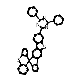 c1ccc(-c2nc(-c3ccccc3)nc(-c3ccc4c(c3)sc3cc5c(cc34)C3(c4ccccc4Sc4ccccc43)c3ccccc3-5)n2)cc1